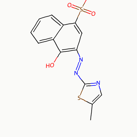 Cc1cnc(N=Nc2cc(S(=O)(=O)O)c3ccccc3c2O)s1